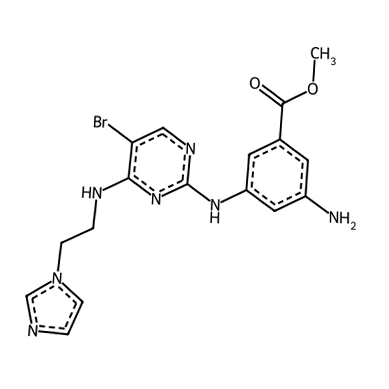 COC(=O)c1cc(N)cc(Nc2ncc(Br)c(NCCn3ccnc3)n2)c1